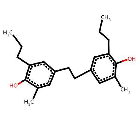 CCCc1cc(CCc2cc(C)c(O)c(CCC)c2)cc(C)c1O